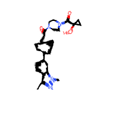 Cc1nn(C)c2cc(-c3ccc(C(=O)N4CCN(C(=O)C5(O)CC5)CC4)cc3)ccc12